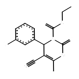 CCNC(=O)N1C(=O)NC(C)=C(C#N)C1c1cccc(Br)c1